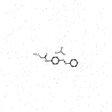 CCN(CC)CC.O=C(O)CC(=S)Nc1ccc(N=Nc2ccccc2)cc1